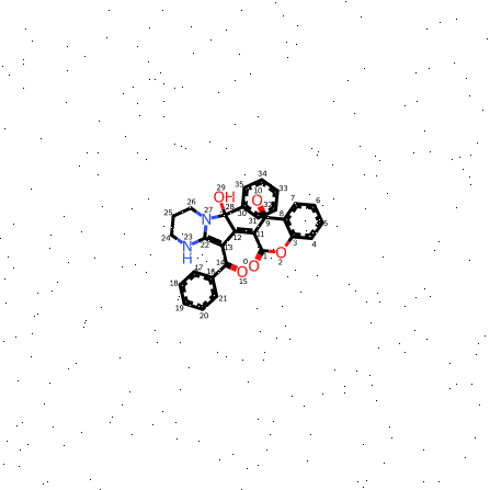 O=C1Oc2ccccc2C(=O)/C1=C1/C(C(=O)c2ccccc2)=C2NCCCN2C1(O)c1ccccc1